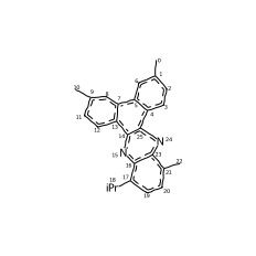 Cc1ccc2c(c1)c1cc(C)ccc1c1nc3c(C(C)C)ccc(C)c3nc21